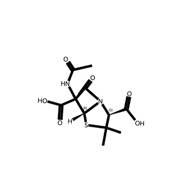 CC(=O)NC1(C(=O)O)C(=O)N2[C@@H](C(=O)O)C(C)(C)S[C@@H]21